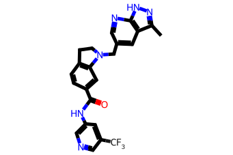 Cc1n[nH]c2ncc(CN3CCc4ccc(C(=O)Nc5cncc(C(F)(F)F)c5)cc43)cc12